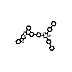 C1=Cc2c(oc3cn4c(cc23)nc2c3ccccc3c3cc(-c5ccc(C6=NC(c7ccc(-c8ccccc8)cc7)NC(c7ccc(-c8ccccc8)cc7)N6)cc5)ccc3c24)CC1